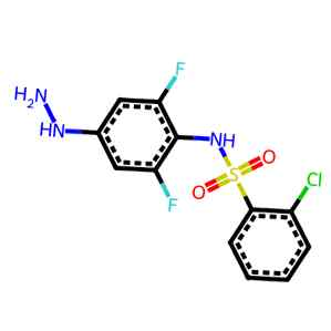 NNc1cc(F)c(NS(=O)(=O)c2ccccc2Cl)c(F)c1